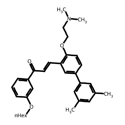 CCCCCCOc1cccc(C(=O)C=Cc2cc(-c3cc(C)cc(C)c3)ccc2OCCN(C)C)c1